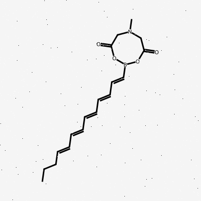 CCC/C=C/C=C/C=C/C=C/C=C/B1OC(=O)CN(C)CC(=O)O1